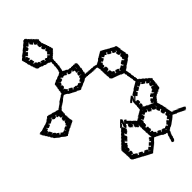 Cc1c(C)c2ccc(-c3cccc(-c4cc(-c5ccccc5)cc(-c5ccccc5)c4)c3)nc2c2ncccc12